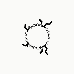 C=CN1CCNC(CC)CCCC(CC)NCCN(C=C)C(CCC)CCCCCC1CCC